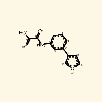 O=C(O)C(=O)Nc1cccc(-c2ccoc2)c1